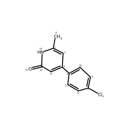 Cc1cc(-c2ccc(Cl)cc2)cc(=O)[nH]1